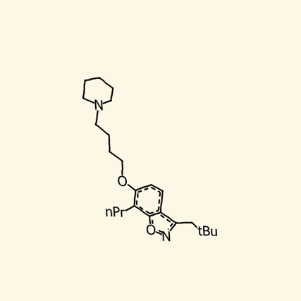 CCCc1c(OCCCCN2CCCCC2)ccc2c(CC(C)(C)C)noc12